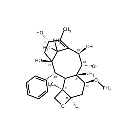 CC1=C2[C@@H](O)[C@H](O)[C@@]3(C)C([C@H](c4ccccc4)[C@](O)(C[C@@H]1O)C2(C)C)[C@]1(C)CO[C@@H]1C[C@@H]3OP